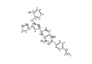 COc1ccc(C(=O)Nc2cnc(-c3cc(-c4ccon4)n(Cc4ccccc4F)n3)nc2N)cc1